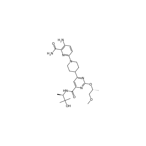 COC[C@@H](C)Oc1nc(C(=O)N[C@H](C)C(C)(C)O)cc(C2CCN(c3ccc(N)c(C(N)=O)n3)CC2)n1